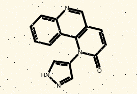 O=c1ccc2cnc3ccccc3c2n1-c1cn[nH]c1